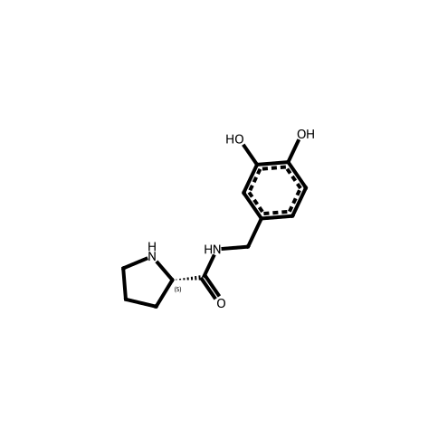 O=C(NCc1ccc(O)c(O)c1)[C@@H]1CCCN1